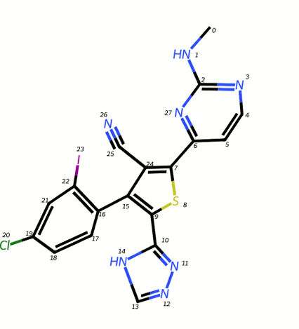 CNc1nccc(-c2sc(-c3nnc[nH]3)c(-c3ccc(Cl)cc3I)c2C#N)n1